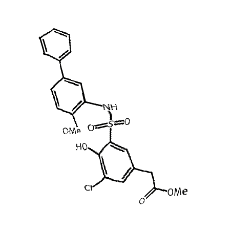 COC(=O)Cc1cc(Cl)c(O)c(S(=O)(=O)Nc2cc(-c3ccccc3)ccc2OC)c1